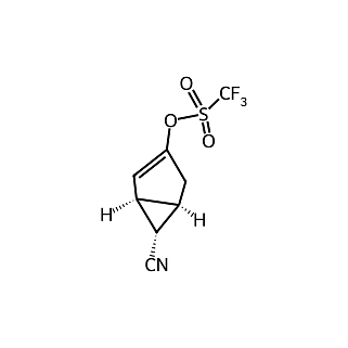 N#C[C@@H]1[C@H]2C=C(OS(=O)(=O)C(F)(F)F)C[C@@H]12